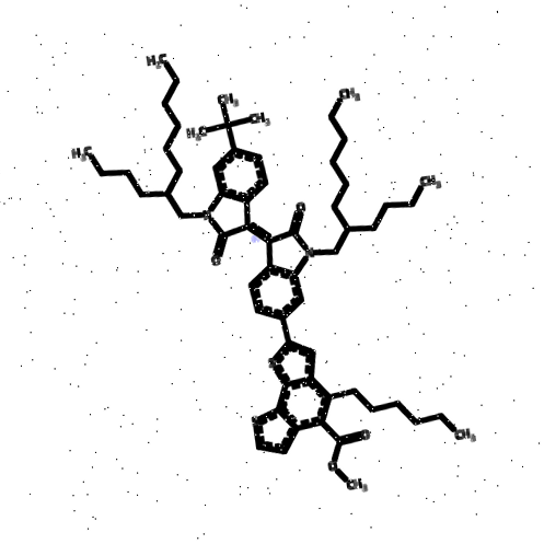 CCCCCCc1c(C(=O)OC)c2ccsc2c2sc(-c3ccc4c(c3)N(CC(CCCC)CCCCCC)C(=O)/C4=C3/C(=O)N(CC(CCCC)CCCCCC)c4cc(C(C)(C)C)ccc43)cc12